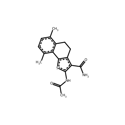 CC(=O)Nc1sc2c(c1C(N)=O)CCc1c(C)ccc(C)c1-2